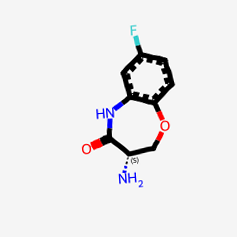 N[C@H]1COc2ccc(F)cc2NC1=O